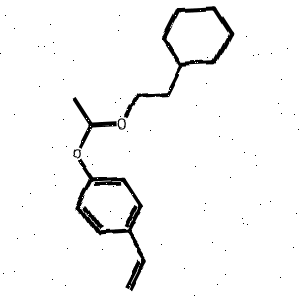 C=Cc1ccc(OC(C)OCCC2CCCCC2)cc1